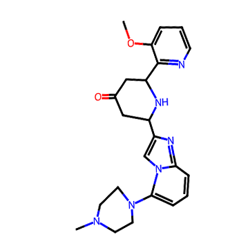 COc1cccnc1C1CC(=O)CC(c2cn3c(N4CCN(C)CC4)cccc3n2)N1